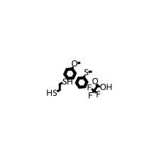 COc1ccccc1.CSc1ccccc1.O=C(O)C(F)(F)F.SCCS